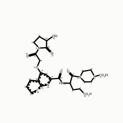 CCOC(=O)N1CCN(C(=O)C(CCC(=O)O)NC(=O)c2cc(OCC(=O)N3CCC(O)C3=O)c3ccccc3n2)CC1